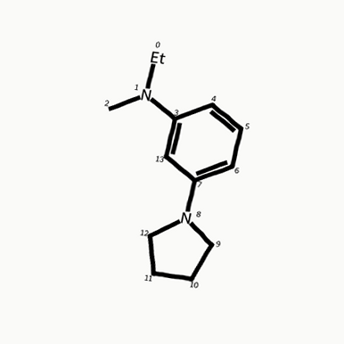 CCN(C)c1cccc(N2CCCC2)c1